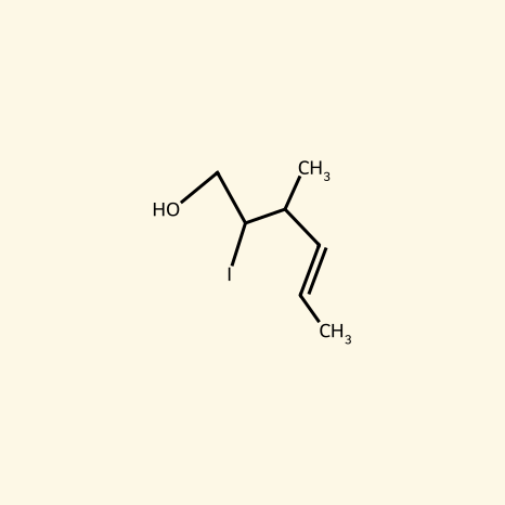 C/C=C/C(C)C(I)CO